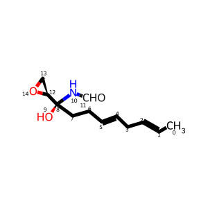 C/C=C/C/C=C/CC[C@@](O)(NC=O)[C@@H]1CO1